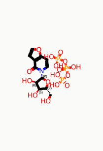 O=P(O)(O)OP(=O)(O)OP(=O)(O)O.O=c1c2ccoc2ccn1[C@@H]1O[C@H](CO)[C@@H](O)[C@H]1O